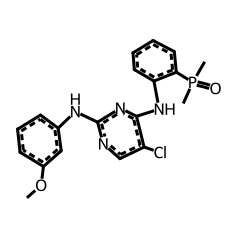 COc1cccc(Nc2ncc(Cl)c(Nc3ccccc3P(C)(C)=O)n2)c1